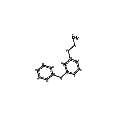 [CH2]CCc1cccc(Cc2ccccc2)n1